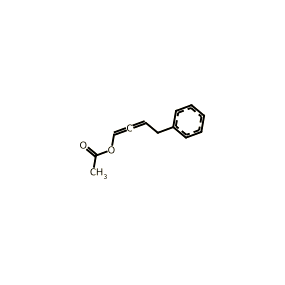 CC(=O)OC=C=CCc1ccccc1